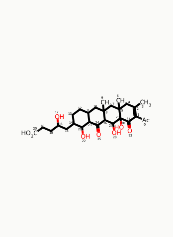 CC(=O)C1=C(C)CC2(C)CC3(C)CC4CCC(CC(O)CCC(=O)O)C(O)C4C(=O)C3C(O)C2(O)C1=O